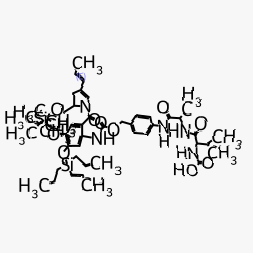 C/C=C/C1=CN(C(=O)c2cc(OC)c(O[Si](CCC)(CCC)CCC)cc2NC(=O)OCc2ccc(NC(=O)C(C)NC(=O)C(NC(=O)O)C(C)C)cc2)C(CO[Si](C)(C)C(C)(C)C)C1